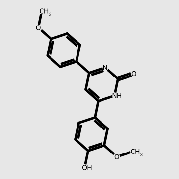 COc1ccc(-c2cc(-c3ccc(O)c(OC)c3)[nH]c(=O)n2)cc1